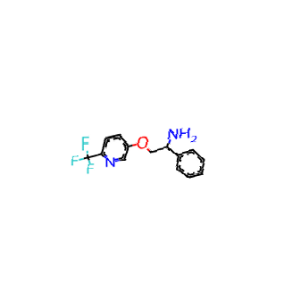 NC(COc1ccc(C(F)(F)F)nc1)c1ccccc1